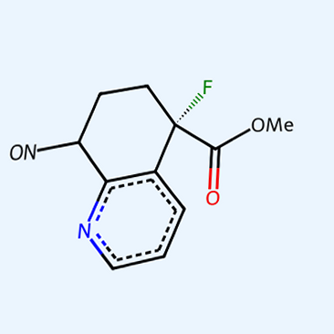 COC(=O)[C@]1(F)CCC(N=O)c2ncccc21